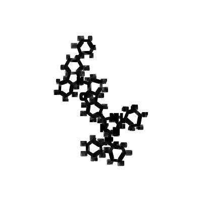 c1ccc(-c2ccc3c4ccccc4n(-c4cccc5c4oc4ccc(C6=NC(n7c8ccccc8c8ccccc87)=NC(c7ccccc7)N6)cc45)c3c2)cc1